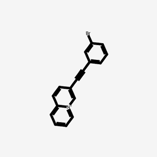 Brc1cccc(C#Cc2ccc3cccc[n+]3c2)c1